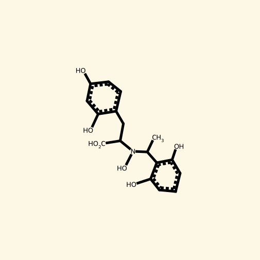 CC(c1c(O)cccc1O)N(O)C(Cc1ccc(O)cc1O)C(=O)O